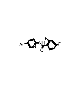 CC(=O)c1ccc(NC(=O)c2ccc(F)cc2F)nc1